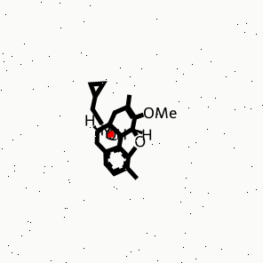 COC1=C(C)C[C@@]2(O)[C@H]3Cc4ccc(C)c5c4[C@@]2(CCN3CC2CC2)[C@H]1O5